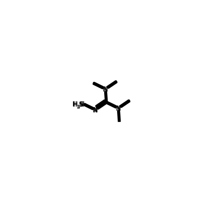 CN(C)C(=N[SiH3])N(C)C